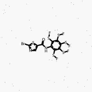 O=C(Nc1c(SF)c(SF)c(SF)c(SF)c1SF)c1cnc(Br)s1